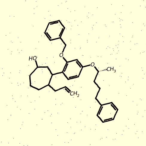 C=CCC1CCCC(O)CC1c1ccc(O[C@H](C)CCCc2ccccc2)cc1OCc1ccccc1